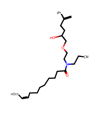 C=C(CCC(O)COCCN(CCC#N)C(=O)CCCCCCC/C=C\CCCCCCCC)C(C)C